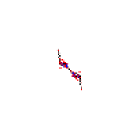 CCCCCCCCCCCCC1CC(=O)N(C2CC(C)(C)N(OCCCCCCCCON3C(C)(C)CC(N4C(=O)CC(CCCCCCCCCCCC)C4=O)CC3(C)C)C(C)(C)C2)C1=O